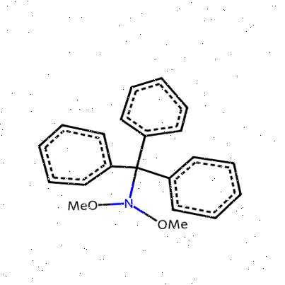 CON(OC)C(c1ccccc1)(c1ccccc1)c1ccccc1